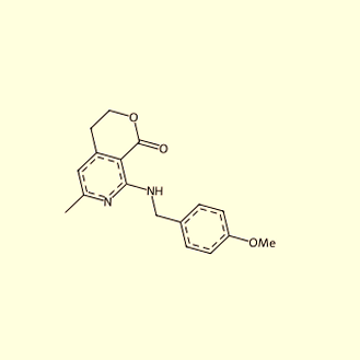 COc1ccc(CNc2nc(C)cc3c2C(=O)OCC3)cc1